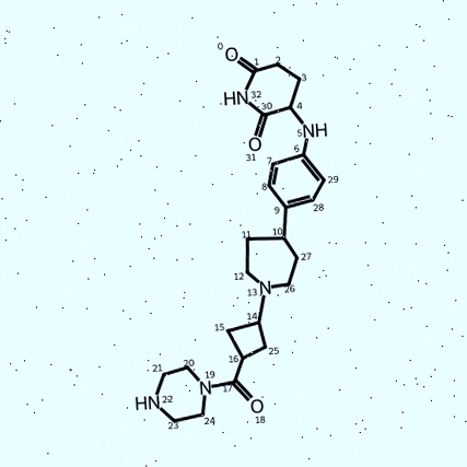 O=C1CCC(Nc2ccc(C3CCN(C4CC(C(=O)N5CCNCC5)C4)CC3)cc2)C(=O)N1